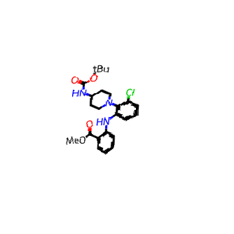 COC(=O)c1ccccc1Nc1cccc(Cl)c1N1CCC(NC(=O)OC(C)(C)C)CC1